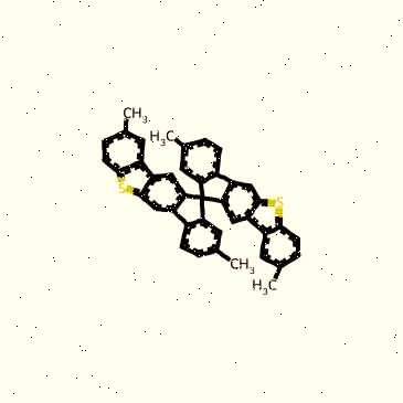 Cc1ccc2c(c1)C1(c3cc(C)ccc3-c3cc4sc5ccc(C)cc5c4cc31)c1cc3c(cc1-2)sc1ccc(C)cc13